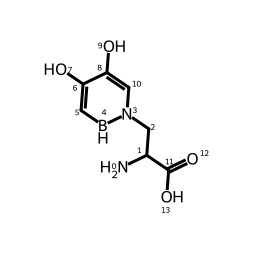 NC(CN1BC=C(O)C(O)=C1)C(=O)O